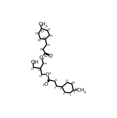 CC1CCC(CCC(=O)OCC(CO)COC(=O)CCC2CCC(C)CC2)CC1